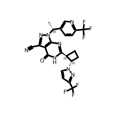 C[C@H](c1ccc(C(F)(F)F)nc1)n1nc(C#N)c2c(=O)[nH]c([C@H]3CC[C@@H]3n3ccc(C(F)(F)F)n3)nc21